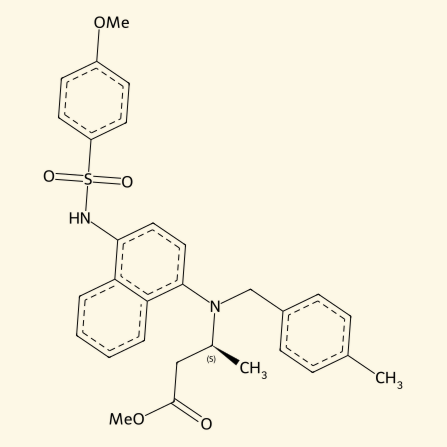 COC(=O)C[C@H](C)N(Cc1ccc(C)cc1)c1ccc(NS(=O)(=O)c2ccc(OC)cc2)c2ccccc12